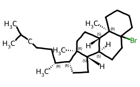 CC(C)CCC[C@@H](C)[C@H]1CC[C@H]2[C@@H]3CCC4(Br)CCCC[C@]4(C)[C@H]3CC[C@]12C